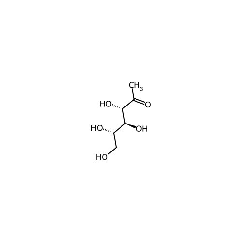 CC(=O)[C@@H](O)[C@@H](O)[C@@H](O)CO